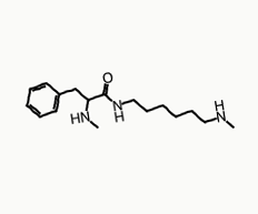 CNCCCCCCNC(=O)C(Cc1ccccc1)NC